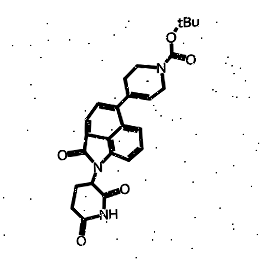 CC(C)(C)OC(=O)N1CC=C(c2ccc3c4c(cccc24)N(C2CCC(=O)NC2=O)C3=O)CC1